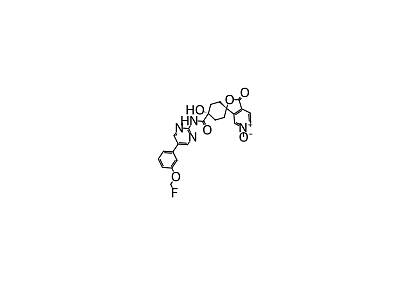 O=C1O[C@]2(CC[C@](O)(C(=O)Nc3ncc(-c4cccc(OCF)c4)cn3)CC2)c2c[n+]([O-])ccc21